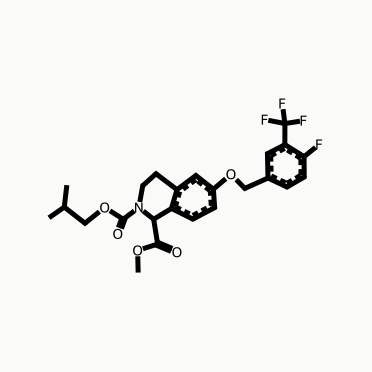 COC(=O)C1c2ccc(OCc3ccc(F)c(C(F)(F)F)c3)cc2CCN1C(=O)OCC(C)C